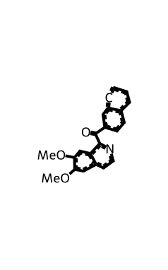 COc1cc2ccnc(C(=O)c3ccc4ccccc4c3)c2cc1OC